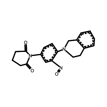 O=Nc1cc(N2C(=O)CCCC2=O)ccc1N1CCc2ccccc2C1